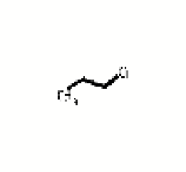 C.CCCCl